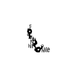 CNC(=O)c1cccc(Nc2ccnc(N3CC(Oc4ccc(F)cc4)C3)n2)c1